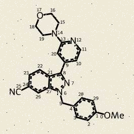 COc1ccc(Cn2nc(-c3ccnc(N4CCOCC4)c3)c3ccc(C#N)cc32)cc1